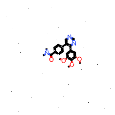 COc1cc(-c2ncncc2-c2ccc(C(=O)N(C)C)cc2)cc(OC)c1OC